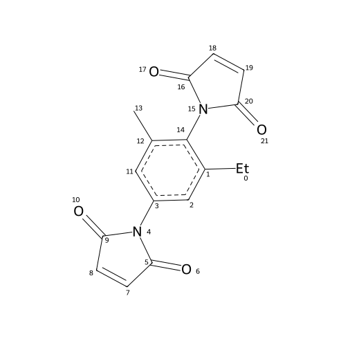 CCc1cc(N2C(=O)C=CC2=O)cc(C)c1N1C(=O)C=CC1=O